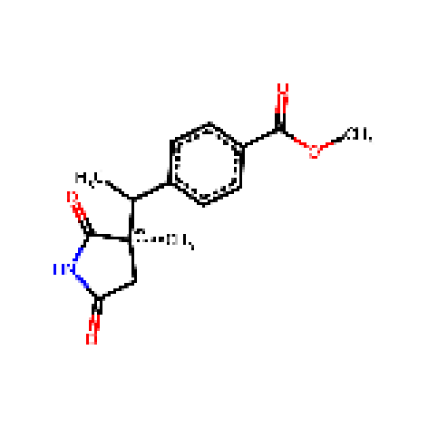 COC(=O)c1ccc(C(C)[C@@]2(C)CC(=O)NC2=O)cc1